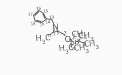 CC1C(CO[Si](C)(C)C(C)(C)C)N1Cc1ccccc1